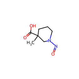 CC1(C(=O)O)CCCN(N=O)C1